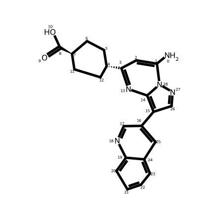 Nc1cc([C@H]2CC[C@H](C(=O)O)CC2)nc2c(-c3cnc4ccccc4c3)cnn12